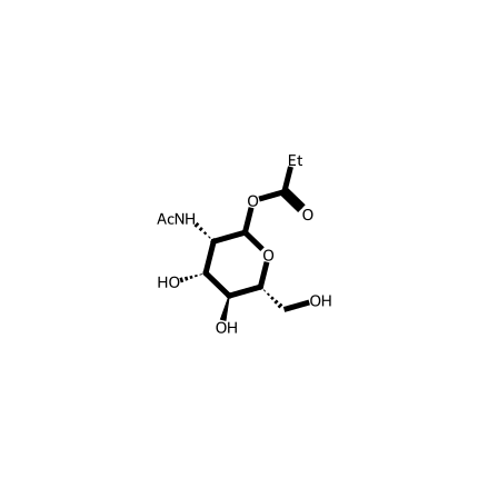 CCC(=O)OC1O[C@H](CO)[C@@H](O)[C@H](O)[C@@H]1NC(C)=O